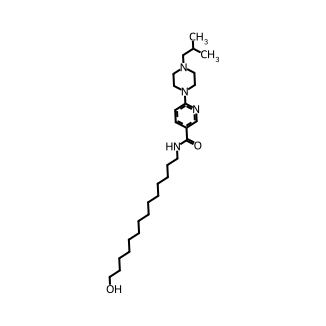 CC(C)CN1CCN(c2ccc(C(=O)NCCCCCCCCCCCCCCO)cn2)CC1